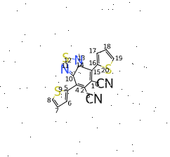 N#Cc1c(C#N)c(-c2cccs2)c2nsnc2c1-c1cccs1